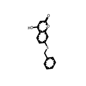 O=c1cc(O)c2ccc(SCc3ccccc3)cc2o1